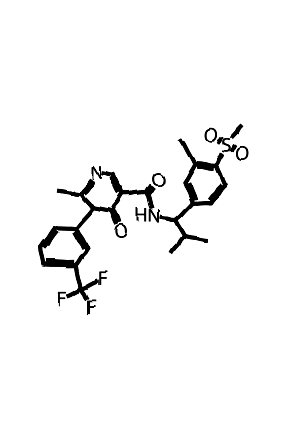 CC1=NC=C(C(=O)NC(c2ccc(S(C)(=O)=O)c(C)c2)C(C)C)C(=O)C1c1cccc(C(F)(F)F)c1